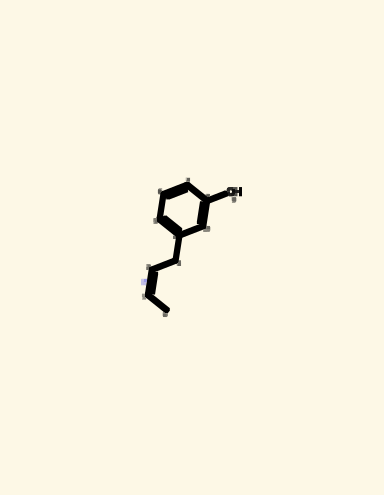 C/C=C\Cc1cccc(O)c1